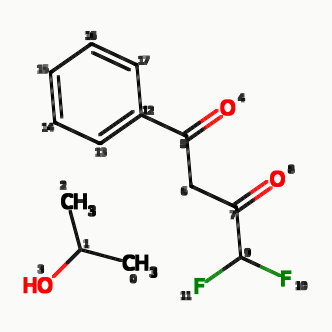 CC(C)O.O=C(CC(=O)C(F)F)c1ccccc1